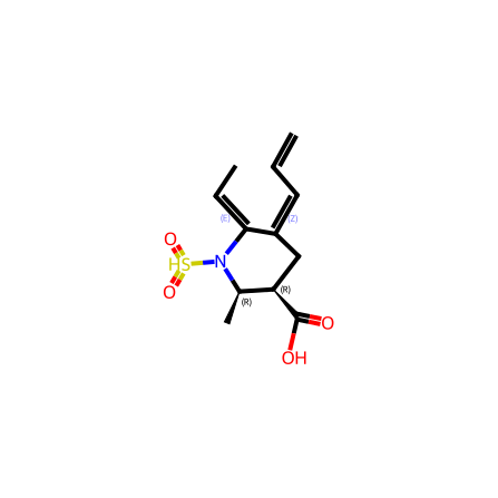 C=C/C=C1/C[C@@H](C(=O)O)[C@@H](C)N([SH](=O)=O)/C1=C/C